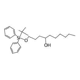 CCCCCCC(O)CCCO[Si](c1ccccc1)(c1ccccc1)C(C)(C)C